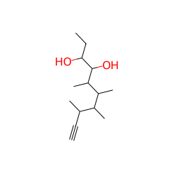 C#CC(C)C(C)C(C)C(C)C(O)C(O)CC